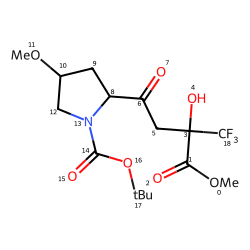 COC(=O)C(O)(CC(=O)C1CC(OC)CN1C(=O)OC(C)(C)C)C(F)(F)F